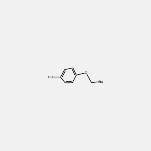 CC(C)(C)COc1ccc(O)cc1